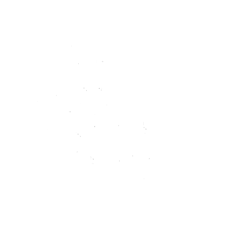 CCC(=O)Nc1cc2c(-c3cnn(CC(F)F)c3-c3ccccc3)ncnc2cc1OC